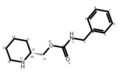 O=C(NCc1ccccc1)OC[C@H]1CCCCN1